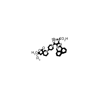 CC1(C)CC2(CCCN(C3CCN(C(=O)c4c(N(C(=O)O)C(C)(C)C)nc(-c5ccccc5)n4Cc4ccccc4)CC3)C2)C(=O)O1